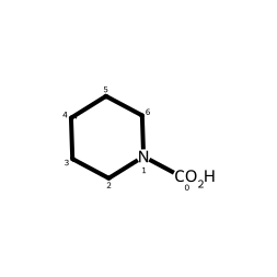 O=C(O)N1CC[CH]CC1